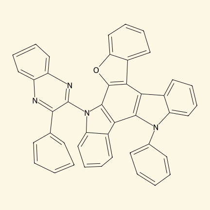 c1ccc(-c2nc3ccccc3nc2-n2c3ccccc3c3c2c2oc4ccccc4c2c2c4ccccc4n(-c4ccccc4)c23)cc1